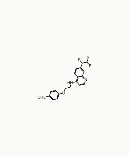 O=Cc1ccc(OCCNc2ccnc3cc(C(F)C(F)F)ccc23)cc1